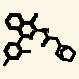 Cc1ccc(-c2nn(NC(=O)CC3CC4CCC3C4)c(=O)c3ccccc23)c(C)c1